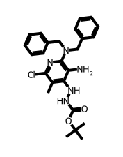 Cc1c(Cl)nc(N(Cc2ccccc2)Cc2ccccc2)c(N)c1NNC(=O)OC(C)(C)C